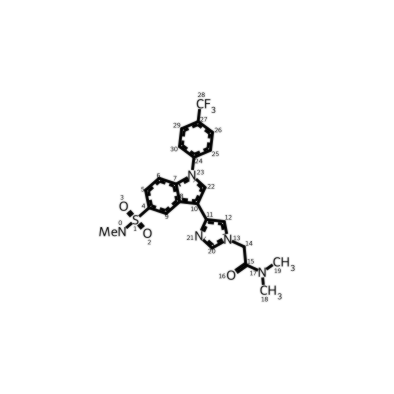 CNS(=O)(=O)c1ccc2c(c1)c(-c1cn(CC(=O)N(C)C)cn1)cn2-c1ccc(C(F)(F)F)cc1